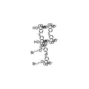 O=C(O)c1cc(Sc2ccc([N+](=O)[O-])c(C(=O)O)c2)ccc1[N+](=O)[O-].O=C(O)c1cc(Sc2ccc([N+](=O)[O-])c(C(=O)O)c2)ccc1[N+](=O)[O-].O=C(OCCCBr)c1cc(SSc2ccc([N+](=O)[O-])c(C(=O)OCCCBr)c2)ccc1[N+](=O)[O-]